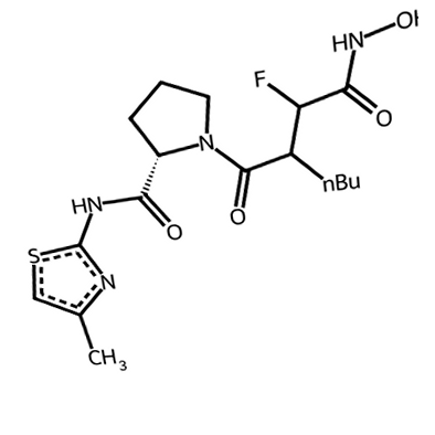 CCCCC(C(=O)N1CCC[C@H]1C(=O)Nc1nc(C)cs1)C(F)C(=O)NO